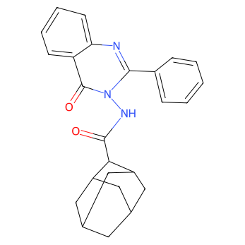 O=C(Nn1c(-c2ccccc2)nc2ccccc2c1=O)C1C2CC3CC(C2)CC1C3